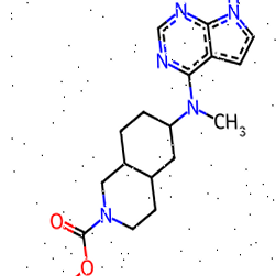 CN(c1ncnc2[nH]ccc12)C1CCC2CN(C(=O)OC(C)(C)C)CCC2C1